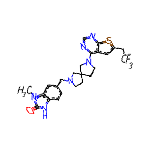 Cn1c(=O)[nH]c2ccc(CN3CCC4(CCN(c5ncnc6sc(CC(F)(F)F)cc56)C4)C3)cc21